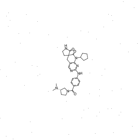 CN(C)[C@H]1CCN(C(=O)c2ccc(Nc3ncc4c(n3)N(C3CCCC3)C(=O)C3(CCNC3=O)C4)cc2)C1